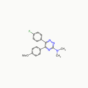 COc1ccc(-c2nc(N(C)C)nnc2-c2ccc(F)cc2)cc1